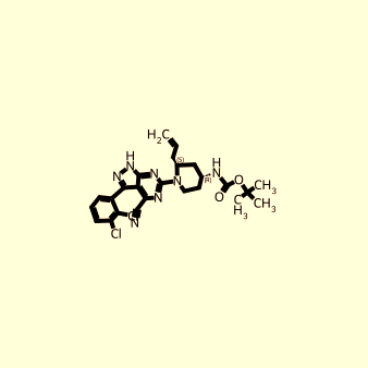 C=CC[C@H]1C[C@H](NC(=O)OC(C)(C)C)CCN1c1nc(C#N)c2c(-c3cccc(Cl)c3Cl)n[nH]c2n1